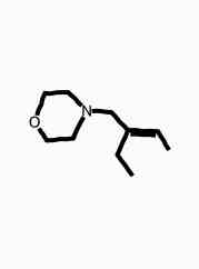 C/C=C(\CC)CN1CCOCC1